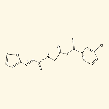 O=C(/C=C/c1ccco1)NCC(=O)OC(=O)c1cccc(Cl)c1